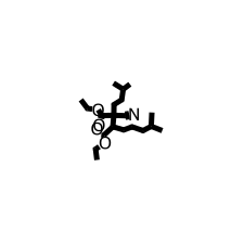 CCOC(=O)C(CCCC(C)C)C(C#N)(CCC(C)C)C(=O)OCC